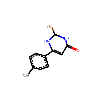 CC(C)(C)c1ccc(C2=CC(=O)NC(S)N2)cc1